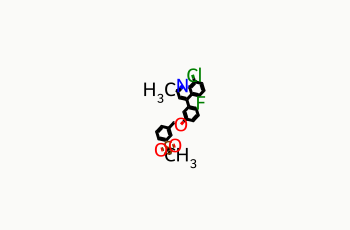 Cc1cc(-c2cc(OCc3cccc(S(C)(=O)=O)c3)ccc2F)c2cccc(Cl)c2n1